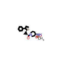 CS(=O)(=O)N[C@H]1CCCN(C(=O)[C@@H]2C[C@H]2c2sccc2-c2ccccc2)CC1